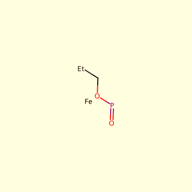 CCCOP=O.[Fe]